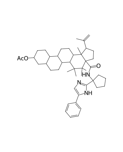 C=C(C)C1CCC2(C(=O)NC3(c4ncc(-c5ccccc5)[nH]4)CCCC3)C1(C)C1CCC3C4CCC(OC(C)=O)CC4CCC3C1C(C)(C)C2(C)C